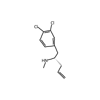 C=CC[C@@H](Cc1ccc(Cl)c(Cl)c1)NC